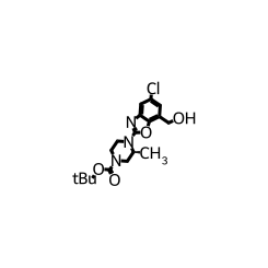 C[C@H]1CN(C(=O)OC(C)(C)C)CCN1c1nc2cc(Cl)cc(CO)c2o1